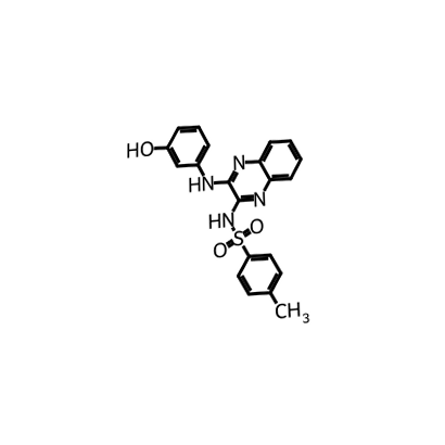 Cc1ccc(S(=O)(=O)Nc2nc3ccccc3nc2Nc2cccc(O)c2)cc1